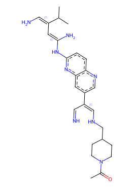 CC(=O)N1CCC(CN/C=C(\C=N)c2cnc3ccc(N/C(N)=C/C(=C\N)C(C)C)nc3c2)CC1